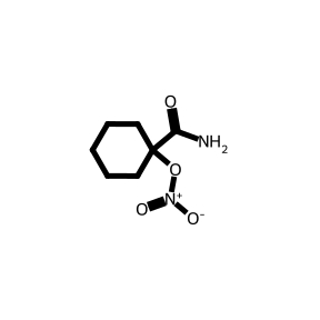 NC(=O)C1(O[N+](=O)[O-])CCCCC1